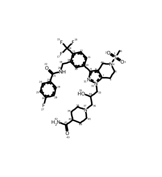 CS(=O)(=O)N1CCc2c(c(-c3ccc(C(F)(F)F)c(CNC(=O)c4ccc(F)cc4)c3)nn2CC(O)CN2CCC(C(N)=O)CC2)C1